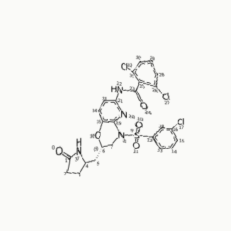 O=C1CCC(C[C@H]2CN(S(=O)(=O)c3cccc(Cl)c3)c3nc(NC(=O)c4c(Cl)cccc4Cl)ccc3O2)N1